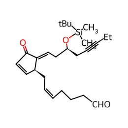 CCC#CC[C@@H](C/C=C1/C(=O)C=C[C@@H]1C/C=C\CCCC=O)O[Si](C)(C)C(C)(C)C